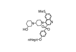 CCCCCCCOc1ccc(S(=O)(=O)c2cnc3ccc(SC)cc3c2N2CCC(N3CCCC(O)C3)CC2)cc1